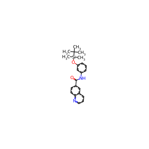 CC(C)(C)[Si](C)(C)Oc1cccc(NC(=O)c2ccc3ncccc3c2)c1